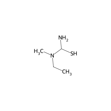 CCN(C)C(N)S